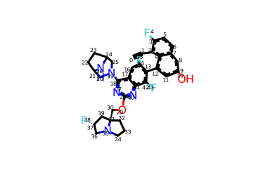 C#Cc1c(F)ccc2cc(O)cc(-c3c(F)cc4c(N5CC6CCC(C5)N6)nc(OC[C@@]56CCCN5C[C@H](F)C6)nc4c3F)c12